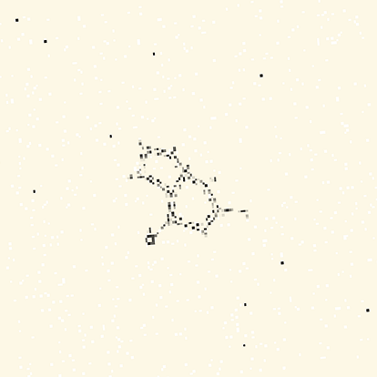 Cc1cc(Cl)c2sccc2c1